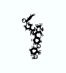 CC#CC(=O)N1CCC(c2nc(-c3ccc(Oc4cccc(OC)c4F)cc3)c3c(C)nccn23)C1